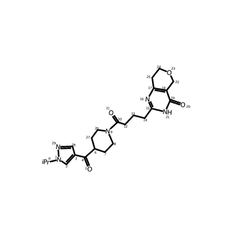 CC(C)n1cc(C(=O)C2CCN(C(=O)CCCc3nc4c(c(=O)[nH]3)COCC4)CC2)cn1